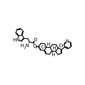 C[C@]12CC[C@H](OC(=O)[C@H](N)Cc3c[nH]c4ccccc34)CC1=CC[C@@H]1[C@@H]2CC[C@]2(C)C(c3cccnc3)=CC[C@@H]12